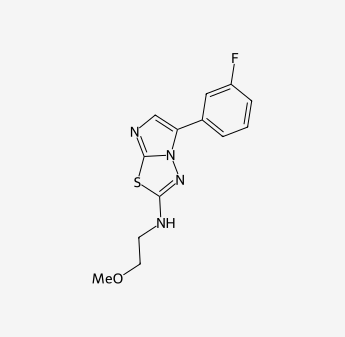 COCCNc1nn2c(-c3cccc(F)c3)cnc2s1